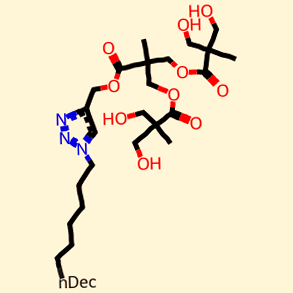 CCCCCCCCCCCCCCCCn1cc(COC(=O)C(C)(COC(=O)C(C)(CO)CO)COC(=O)C(C)(CO)CO)nn1